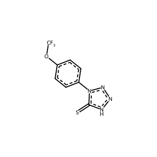 FC(F)(F)Oc1ccc(-n2nn[nH]c2=S)cc1